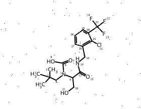 CC(C)(C)CN(C(=O)O)C(CO)C(=O)NCc1cccc(C(F)(F)F)c1Cl